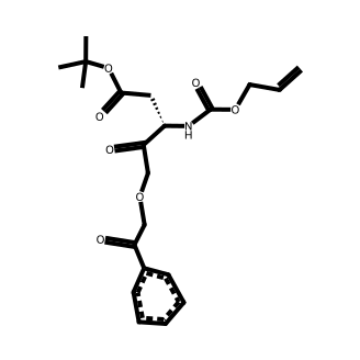 C=CCOC(=O)N[C@@H](CC(=O)OC(C)(C)C)C(=O)COCC(=O)c1ccccc1